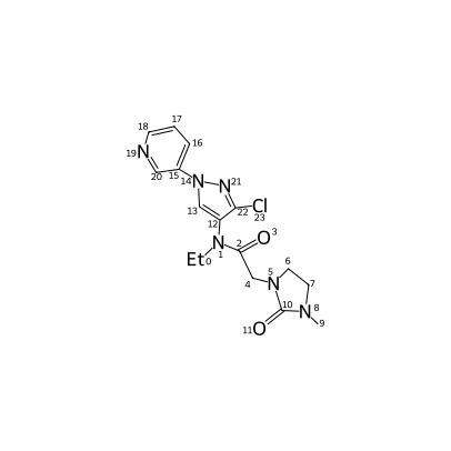 CCN(C(=O)CN1CCN(C)C1=O)c1cn(-c2cccnc2)nc1Cl